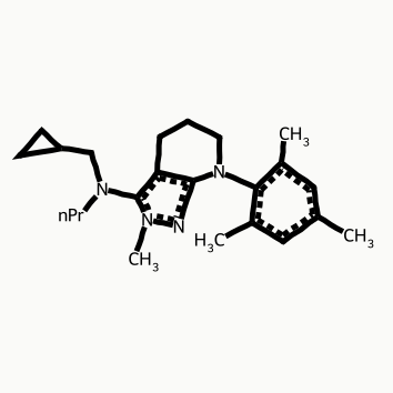 CCCN(CC1CC1)c1c2c(nn1C)N(c1c(C)cc(C)cc1C)CCC2